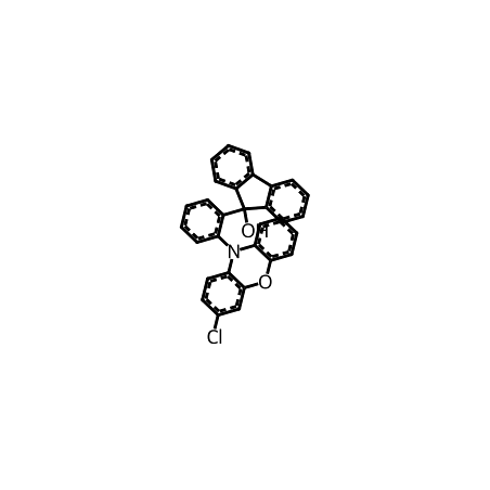 OC1(c2ccccc2N2c3ccccc3Oc3cc(Cl)ccc32)c2ccccc2-c2ccccc21